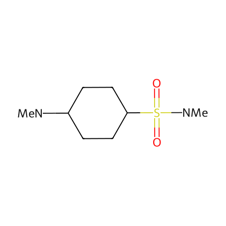 CNC1CCC(S(=O)(=O)NC)CC1